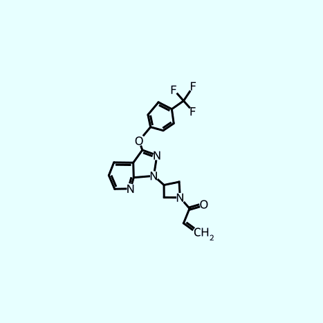 C=CC(=O)N1CC(n2nc(Oc3ccc(C(F)(F)F)cc3)c3cccnc32)C1